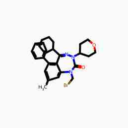 Cc1cc(-c2ccccc2)c2c(c1)N(CBr)C(=O)N(C1CCOCC1)N=C2C1CCCCC1